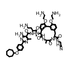 Cc1nc(-c2ccc(OC3CCCCCC3)cc2)nc(N)c1C(=O)NC(CCN)C(=O)N(C)C1C(=O)NC(C)C(=O)NC(C(=O)NCC#N)Cc2ccc(OCCN)c(c2)-c2cc1ccc2OCCN